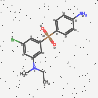 CCN(C)c1cc(Br)cc(S(=O)(=O)c2ccc(N)cc2)c1